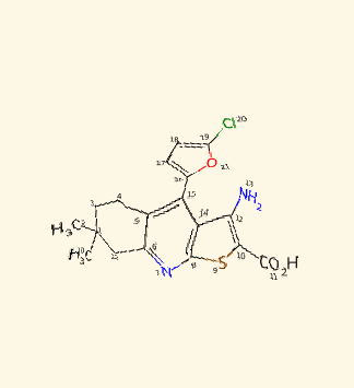 CC1(C)CCc2c(nc3sc(C(=O)O)c(N)c3c2-c2ccc(Cl)o2)C1